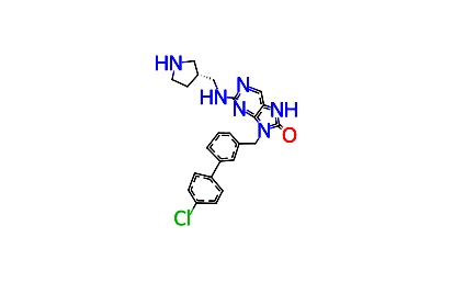 O=c1[nH]c2cnc(NC[C@@H]3CCNC3)nc2n1Cc1cccc(-c2ccc(Cl)cc2)c1